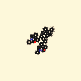 c1ccc2c(c1)-c1c(-c3c4cccc(-c5cccc6c5-c5ccccc5C65c6ccccc6-n6c7ccccc7c7cccc5c76)c4cc4c(-c5cccc6c5-c5ccccc5C65c6ccccc6-n6c7ccccc7c7cccc5c76)cccc34)cccc1C21c2ccccc2-c2c1c1ccccc1c1ccccc21